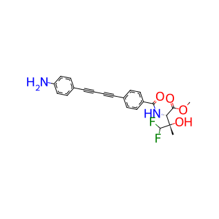 COC(=O)[C@@H](NC(=O)c1ccc(C#CC#Cc2ccc(N)cc2)cc1)[C@](C)(O)C(F)F